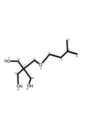 CC(C)CCOCC(CO)(CO)CO